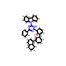 c1ccc(C2=NC(c3cccc4c3oc3c(-c5cccc6ccccc56)cccc34)NC(n3c4ccccc4c4ccccc43)=N2)cc1